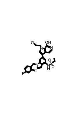 CCS(=O)(=O)Nc1cc(-c2cn(CCCl)c3c(O)nccc23)cc2c1ccn2Cc1ccc(F)cc1Cl